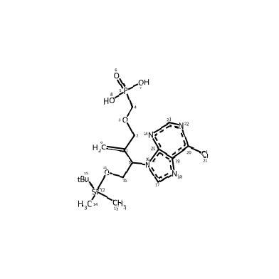 C=C(COCP(=O)(O)O)C(CO[Si](C)(C)C(C)(C)C)n1cnc2c(Cl)ncnc21